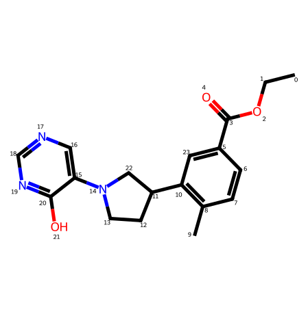 CCOC(=O)c1ccc(C)c(C2CCN(c3cncnc3O)C2)c1